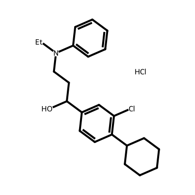 CCN(CCC(O)c1ccc(C2CCCCC2)c(Cl)c1)c1ccccc1.Cl